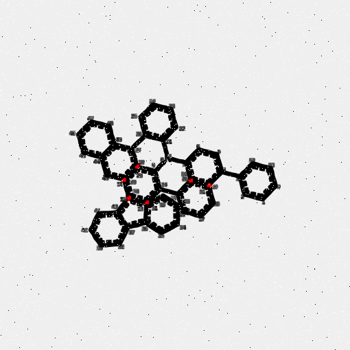 c1ccc(-c2ccc(N(c3ccccc3-c3ccccc3)c3ccccc3-c3cc(-n4c5ccccc5c5ccccc54)cc4ccccc34)cc2)cc1